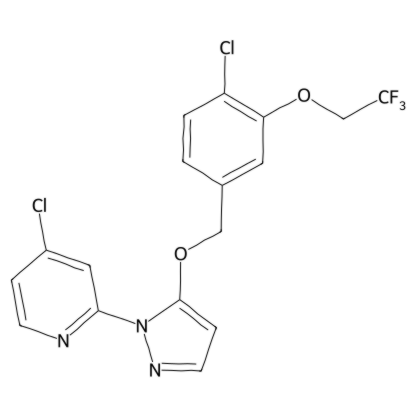 FC(F)(F)COc1cc(COc2ccnn2-c2cc(Cl)ccn2)ccc1Cl